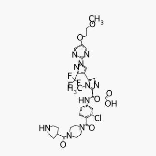 COCCOc1cnc(-n2cc(-c3cnc(C(=O)Nc4ccc(C(=O)N5CCN(C(=O)C6CCNCC6)CC5)c(Cl)c4)n3C)c(C(F)(F)F)n2)nc1.O=CO